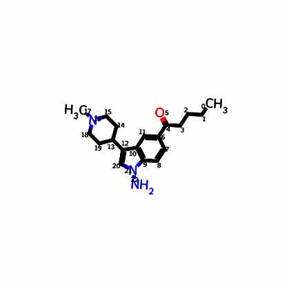 CCCCC(=O)c1ccc2c(c1)c(C1CCN(C)CC1)cn2N